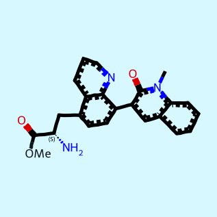 COC(=O)[C@@H](N)Cc1ccc(-c2cc3ccccc3n(C)c2=O)c2ncccc12